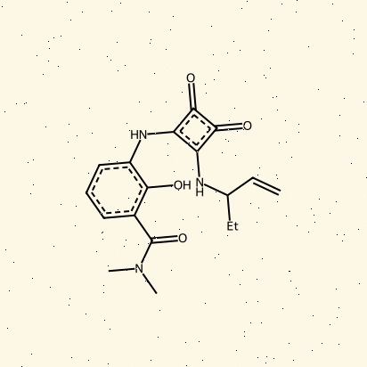 C=CC(CC)Nc1c(Nc2cccc(C(=O)N(C)C)c2O)c(=O)c1=O